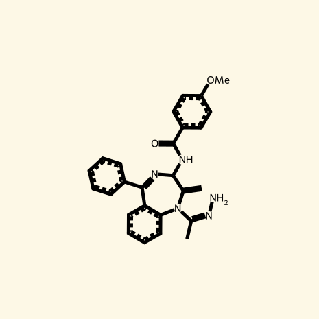 C=C1C(NC(=O)c2ccc(OC)cc2)N=C(c2ccccc2)c2ccccc2N1/C(C)=N\N